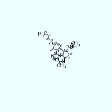 CCCCOc1cncc(-c2nnc3c(C)nc4ccc(CNC)cc4n23)c1